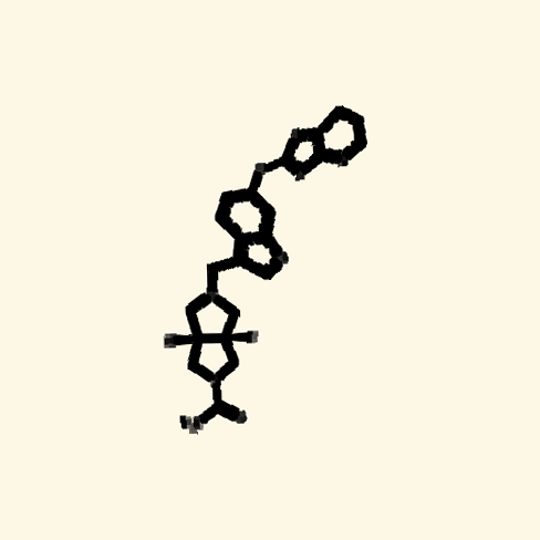 CC(=O)N1C[C@H]2CN(Cc3coc4cc(Oc5nc6ncccc6s5)ccc34)C[C@H]2C1